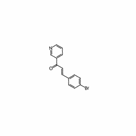 O=C(C=Cc1ccc(Br)cc1)c1cccnc1